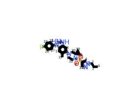 CCCn1cc(S(=O)(=O)N2CCN(c3cc4c(cc3C)N(c3ccc(F)cc3)NN4)CC23CC3)cn1